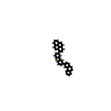 c1ccc2c(c1)ccc1ccc(-c3ccc4sc5ccc(-c6ccc7ccc8cccc9ccc6c7c89)cc5c4c3)cc12